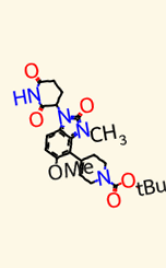 COc1ccc2c(c1C1=CCN(C(=O)OC(C)(C)C)CC1)n(C)c(=O)n2C1CCC(=O)NC1=O